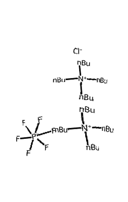 CCCC[N+](CCCC)(CCCC)CCCC.CCCC[N+](CCCC)(CCCC)CCCC.F[P-](F)(F)(F)(F)F.[Cl-]